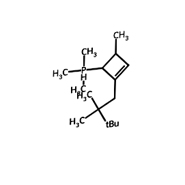 CC1C=C(CC(C)(C)C(C)(C)C)C1[PH](C)(C)C